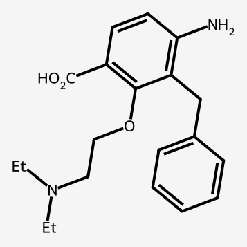 CCN(CC)CCOc1c(C(=O)O)ccc(N)c1Cc1ccccc1